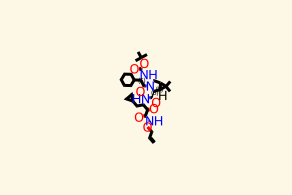 C=CCONC(=O)C(=O)C(CC1CC1)NC(=O)[C@@H]1[C@@H]2C(CN1C(=O)[C@@H](NC(=O)OC(C)(C)C)C1CCCCC1)C2(C)C